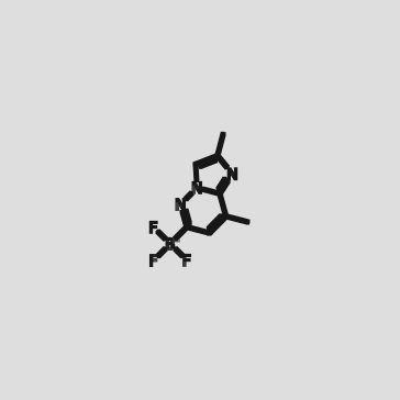 Cc1cn2nc([B-](F)(F)F)cc(C)c2n1